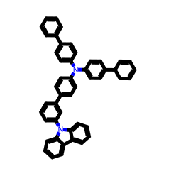 C1=CCC(c2ccc(N(c3ccc(-c4ccccc4)cc3)c3ccc(-c4cccc(-n5c6ccccc6c6ccccc65)c4)cc3)cc2)C=C1